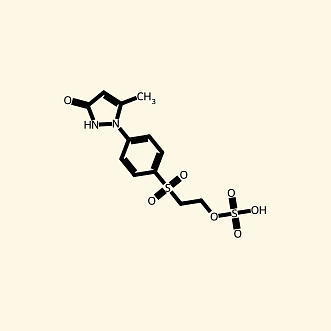 Cc1cc(=O)[nH]n1-c1ccc(S(=O)(=O)CCOS(=O)(=O)O)cc1